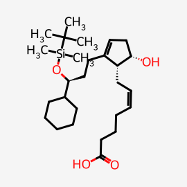 CC(C)(C)[Si](C)(C)O[C@@H](CCC1=CC[C@H](O)[C@@H]1C/C=C\CCCC(=O)O)C1CCCCC1